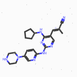 C/C(C#N)=C\c1cnc(Nc2ccc(N3CCNCC3)cn2)nc1NC1CCCC1